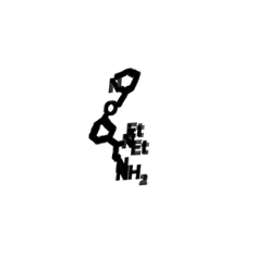 CCN(CC)C(/C=N/N)c1cccc(OCc2ccccn2)c1